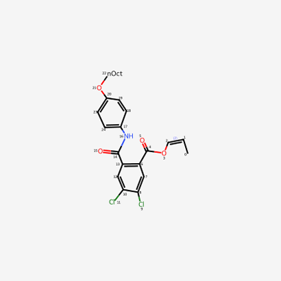 C/C=C\OC(=O)c1cc(Cl)c(Cl)cc1C(=O)Nc1ccc(OCCCCCCCC)cc1